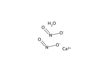 O.O=N[O-].O=N[O-].[Ca+2]